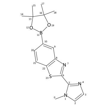 Cn1ccnc1-c1nc2cc(B3OC(C)(C)C(C)(C)O3)ccc2s1